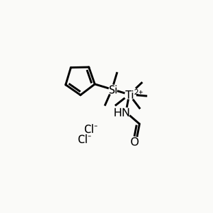 C[Si](C)(C1=CCC=C1)[Ti+2]([CH3])([CH3])([CH3])([CH3])[NH]C=O.[Cl-].[Cl-]